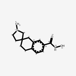 CN1CCC2(CCc3ccc(C(=O)NO)cc3C2)C1